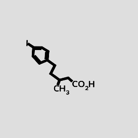 CC(CCc1ccc(I)cc1)CC(=O)O